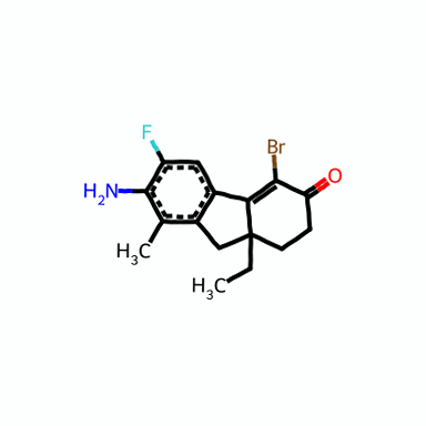 CCC12CCC(=O)C(Br)=C1c1cc(F)c(N)c(C)c1C2